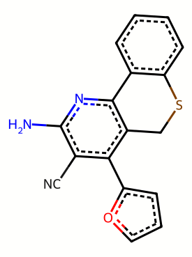 N#Cc1c(N)nc2c(c1-c1ccco1)CSc1ccccc1-2